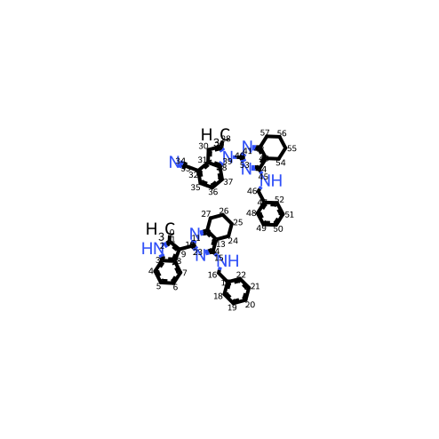 Cc1[nH]c2ccccc2c1-c1nc2c(c(NCc3ccccc3)n1)CCCC2.Cc1cc2c(C#N)cccc2n1-c1nc2c(c(NCc3ccccc3)n1)CCCC2